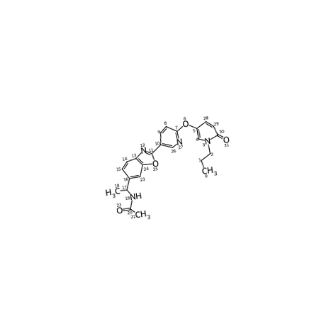 CCCn1cc(Oc2ccc(-c3nc4ccc(C(C)NC(C)=O)cc4o3)cn2)ccc1=O